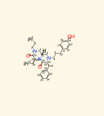 CC(C)CCN1C[C@@H]2CN(CCCc3ccc(O)cc3)[C@@H](Cc3ccccc3)C(=O)N2[C@@H](CC(C)C)C1=O